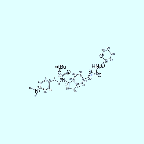 CN(C)c1ccc(CCN(C(=O)OC(C)(C)C)C2CCc3cc(/C=C/C(=O)NOC4CCCCO4)ccc32)cc1